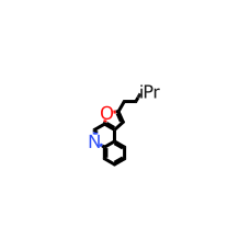 CC(C)CCc1cc2c(cnc3ccccc32)o1